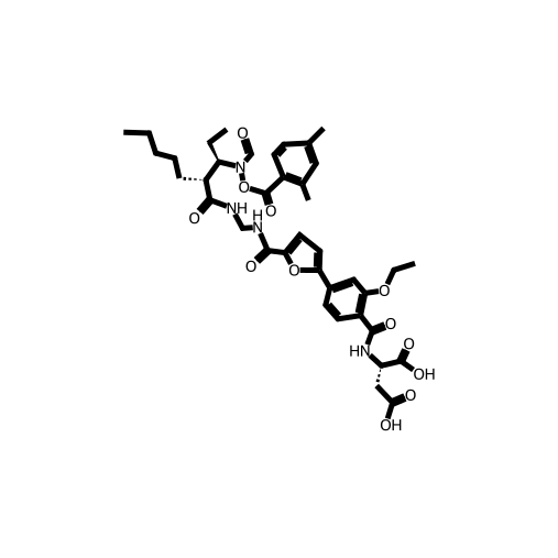 CCCCC[C@@H](C(=O)NCNC(=O)c1ccc(-c2ccc(C(=O)N[C@@H](CC(=O)O)C(=O)O)c(OCC)c2)o1)[C@@H](CC)N(C=O)OC(=O)c1ccc(C)cc1C